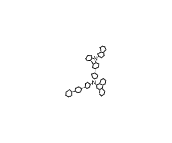 c1ccc(-c2ccc(-c3ccc(N(c4ccc(-c5ccc6c(c5)c5ccccc5n6-c5ccc6ccccc6c5)cc4)c4cc5ccccc5c5ccccc45)cc3)cc2)cc1